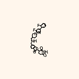 O=C1CCC(N2Cc3cc(CNCC4CCN(c5ncc(-c6ccccc6F)cc5F)CC4)ccc3C2=O)C(=O)N1